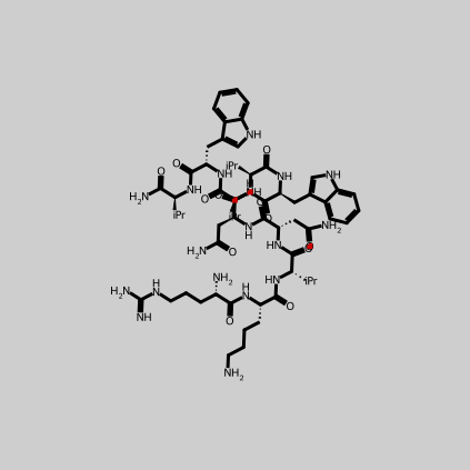 CC(C)[C@H](NC(=O)[C@H](Cc1c[nH]c2ccccc12)NC(=O)[C@@H](NC(=O)[C@H](Cc1c[nH]c2ccccc12)NC(=O)[C@@H](NC(=O)[C@H](CC(N)=O)NC(=O)[C@H](CC(N)=O)NC(=O)[C@@H](NC(=O)[C@H](CCCCN)NC(=O)[C@@H](N)CCCNC(=N)N)C(C)C)C(C)C)C(C)C)C(N)=O